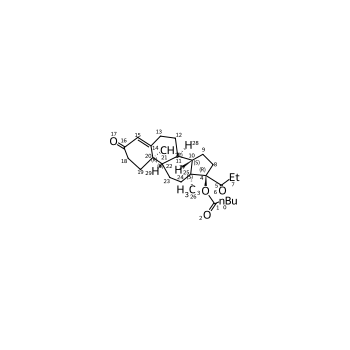 CCCCC(=O)O[C@]1(C(=O)CC)CC[C@H]2[C@@H]3CCC4=CC(=O)CC[C@]4(C)[C@H]3CC[C@@]21C